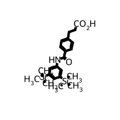 C[Si](C)(C)c1cc(NC(=O)c2ccc(CCC(=O)O)cc2)cc([Si](C)(C)C)c1